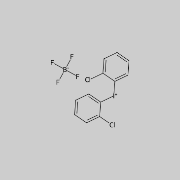 Clc1ccccc1[I+]c1ccccc1Cl.F[B-](F)(F)F